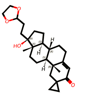 C[C@]12CC3(CC3)C(=O)C=C1CC[C@@H]1[C@@H]2CC[C@@]2(C)[C@H]1CC[C@@]2(O)CCC1OCCO1